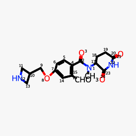 CN(C(=O)c1ccc(OCC2CNC2)cc1C=O)C1CCC(=O)NC1=O